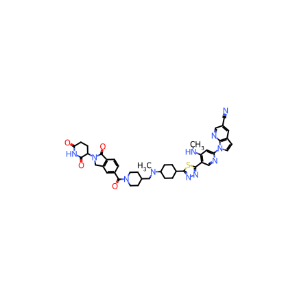 CNc1cc(-n2ccc3cc(C#N)cnc32)ncc1-c1nnc(C2CCC(N(C)CC3CCN(C(=O)c4ccc5c(c4)CN(C4CCC(=O)NC4=O)C5=O)CC3)CC2)s1